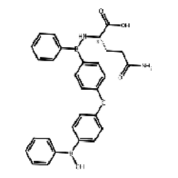 NC(=O)CC[C@H](NB(c1ccccc1)c1ccc(Oc2ccc(B(O)c3ccccc3)cc2)cc1)C(=O)O